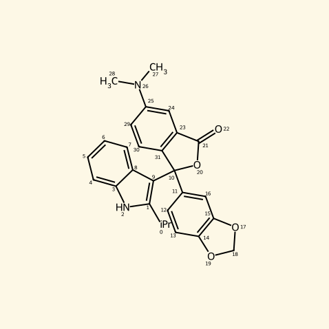 CC(C)c1[nH]c2ccccc2c1C1(c2ccc3c(c2)OCO3)OC(=O)c2cc(N(C)C)ccc21